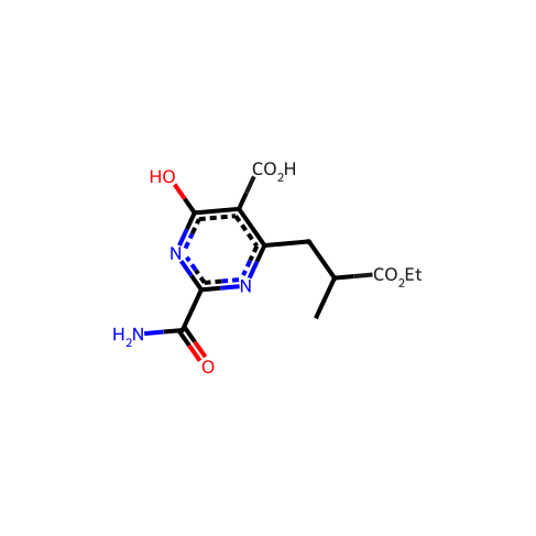 CCOC(=O)C(C)Cc1nc(C(N)=O)nc(O)c1C(=O)O